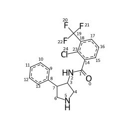 O=C(NC1CNCC1c1ccccc1)c1cccc(C(F)(F)F)c1Cl